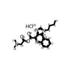 CCCCn1cnc2c(C(=O)OC(=O)CN(C)C)nc3ccccc3c21.Cl